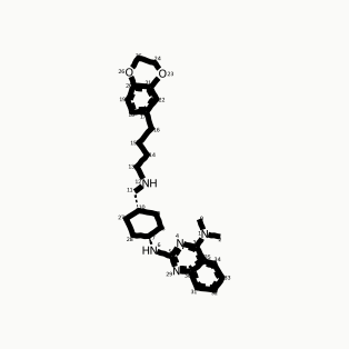 CN(C)c1nc(N[C@H]2CC[C@@H](CNCCCCc3ccc4c(c3)OCCO4)CC2)nc2ccccc12